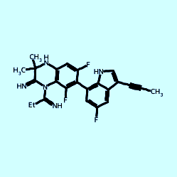 CC#Cc1c[nH]c2c(-c3c(F)cc4c(c3F)N(C(=N)CC)C(=N)C(C)(C)N4)cc(F)cc12